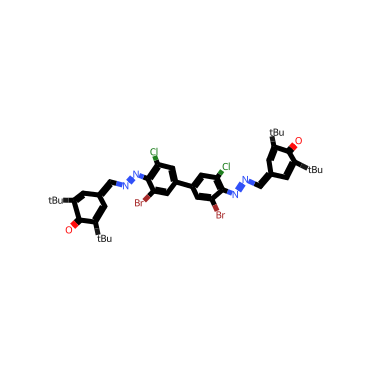 CC(C)(C)C1=CC(=C/N=N/c2c(Cl)cc(-c3cc(Cl)c(/N=N/C=C4C=C(C(C)(C)C)C(=O)C(C(C)(C)C)=C4)c(Br)c3)cc2Br)C=C(C(C)(C)C)C1=O